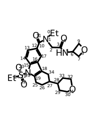 CCN(CC(=O)NC1COC1)C(=O)c1ccc2c(c1)c1c(n2S(=O)(=O)CC)CCC(C2CCOCC2)C1